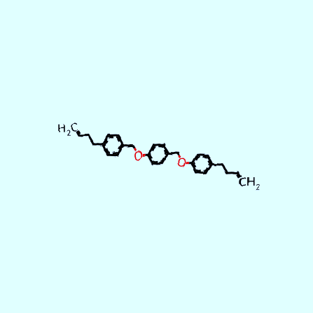 C=CCCc1ccc(COc2ccc(COc3ccc(CCC=C)cc3)cc2)cc1